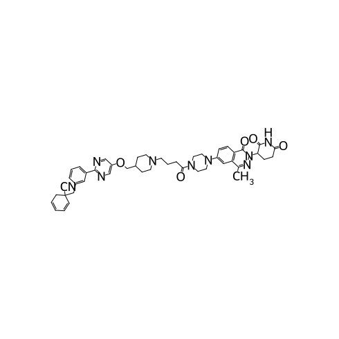 Cc1nn(C2CCC(=O)NC2=O)c(=O)c2ccc(N3CCN(C(=O)CCCN4CCC(COc5cnc(-c6cccc(CC7(C#N)C=CC=CC7)c6)nc5)CC4)CC3)cc12